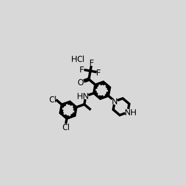 CC(Nc1cc(N2CCNCC2)ccc1C(=O)C(F)(F)F)c1cc(Cl)cc(Cl)c1.Cl